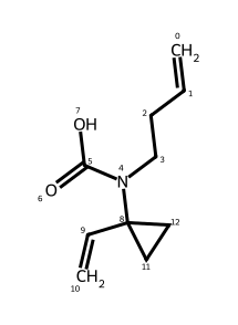 C=CCCN(C(=O)O)C1(C=C)CC1